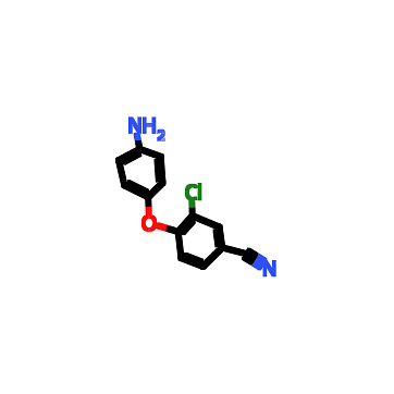 N#Cc1ccc(Oc2ccc(N)cc2)c(Cl)c1